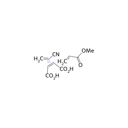 C=CC#N.C=CC(=O)OC.O=C(O)/C=C\C(=O)O